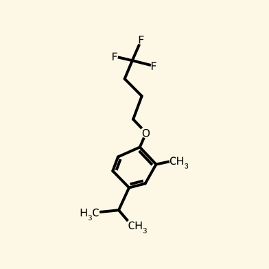 Cc1cc(C(C)C)ccc1OCCCC(F)(F)F